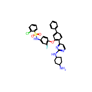 NC1CCC(Nc2nccc(-c3ccc(-c4ccccc4)cc3Oc3ccc(NS(=O)(=O)c4ccccc4Cl)cc3F)n2)CC1